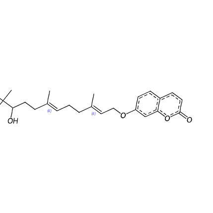 C/C(=C\COc1ccc2ccc(=O)oc2c1)CC/C=C(\C)CCC(O)C(C)(C)F